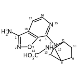 Nc1noc2c(N3CC4CCC3C4NC(=O)O)nccc12